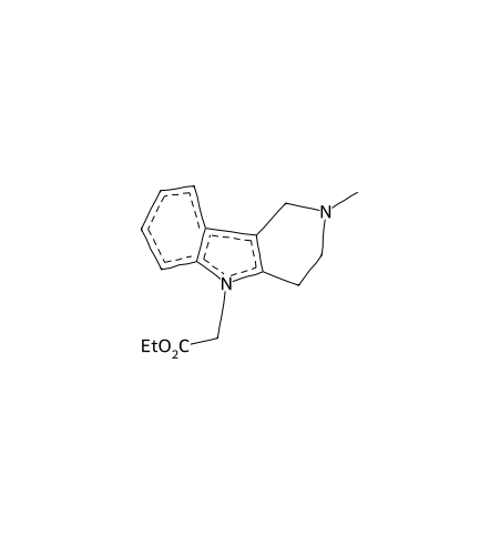 CCOC(=O)Cn1c2c(c3ccccc31)CN(C)CC2